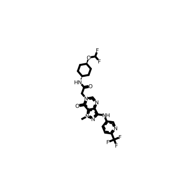 Cn1nc(Nc2ccc(C(F)(F)F)nc2)c2ncn(CC(=O)N[C@H]3CC[C@H](OC(F)F)CC3)c(=O)c21